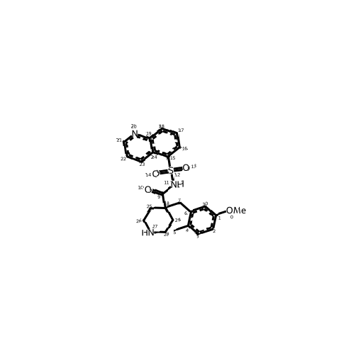 COc1ccc(C)c(CC2(C(=O)NS(=O)(=O)c3cccc4ncccc34)CCNCC2)c1